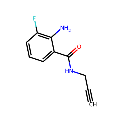 C#CCNC(=O)c1cccc(F)c1N